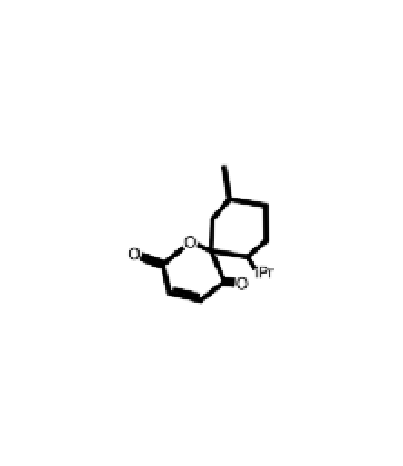 CC1CCC(C(C)C)C2(C1)OC(=O)C=CC2=O